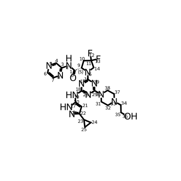 O=C(Nc1cnccn1)[C@@H]1CC(F)(F)CN1c1nc(Nc2cc(C3CC3)n[nH]2)nc(N2CCN(CCO)CC2)n1